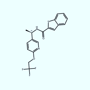 C[C@@H](NC(=O)c1cc2ccccc2s1)c1ccc(OCC(F)(F)F)nc1